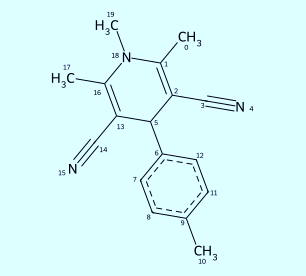 CC1=C(C#N)C(c2ccc(C)cc2)C(C#N)=C(C)N1C